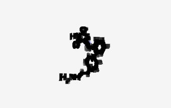 NCCCN1CCN(c2ccccc2/C=C2\SC(=O)NC2=O)CC1